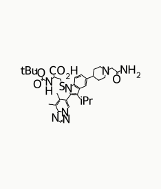 Cc1c(-c2c(C(C)C)c3cc(C4CCN(CC(N)=O)CC4)ccc3n2SCC(NC(=O)OC(C)(C)C)C(=O)O)cn2ncnc2c1C